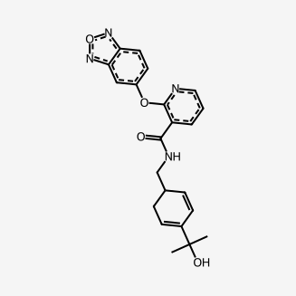 CC(C)(O)C1=CCC(CNC(=O)c2cccnc2Oc2ccc3nonc3c2)C=C1